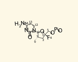 C[C@H]1C[C@@](F)(COP=O)O[C@H]1n1ccc(N)nc1=O